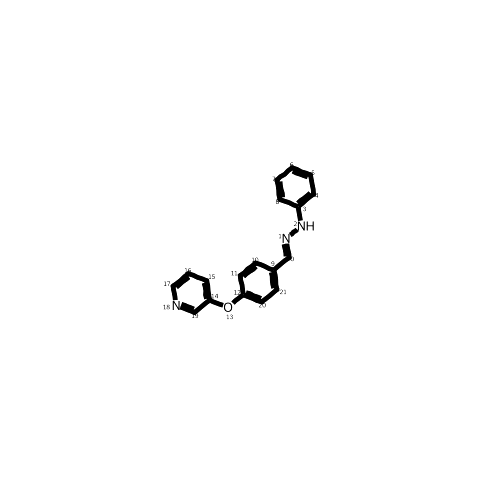 C(=N\Nc1ccccc1)/c1ccc(Oc2cccnc2)cc1